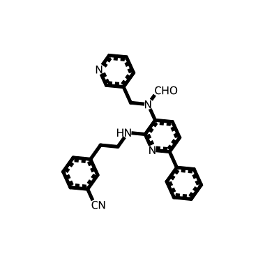 N#Cc1cccc(CCNc2nc(-c3ccccc3)ccc2N(C=O)Cc2cccnc2)c1